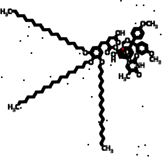 CCCCCCCCCCCCCCCCCCOc1cc(CC(CC(=O)O)C(=O)O[C@]2(O)C[C@H](n3cc(C)c(=O)[nH]c3=O)O[C@@H]2COC(c2ccccc2)(c2ccc(OC)cc2)c2ccc(OC)cc2)cc(OCCCCCCCCCCCCCCCCCC)c1OCCCCCCCCCCCCCCCCCC